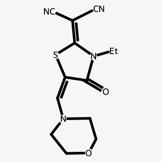 CCn1c(=C(C#N)C#N)s/c(=C/N2CCOCC2)c1=O